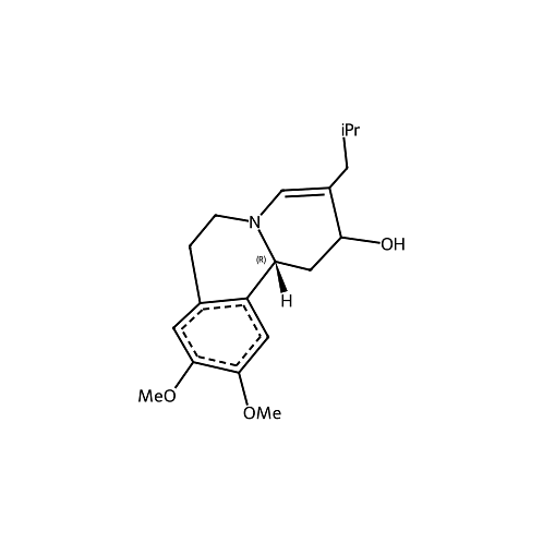 COc1cc2c(cc1OC)[C@H]1CC(O)C(CC(C)C)=CN1CC2